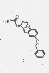 O=C(O)C=C1CCn2c1cc1cc(OCc3ccccc3)ccc12